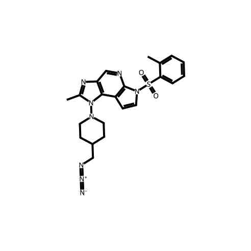 Cc1ccccc1S(=O)(=O)n1ccc2c1ncc1nc(C)n(N3CCC(CN=[N+]=[N-])CC3)c12